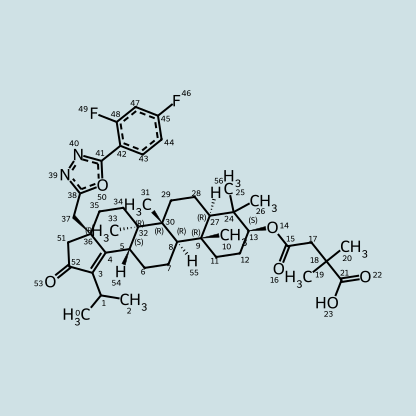 CC(C)C1=C2[C@H]3CC[C@@H]4[C@@]5(C)CC[C@H](OC(=O)CC(C)(C)C(=O)O)C(C)(C)[C@@H]5CC[C@@]4(C)[C@]3(C)CC[C@@]2(Cc2nnc(-c3ccc(F)cc3F)o2)CC1=O